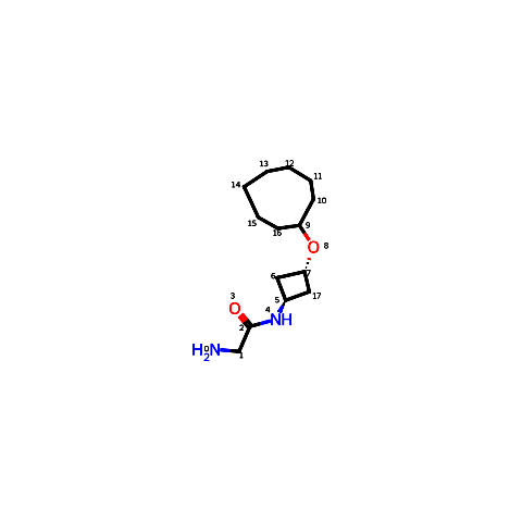 NCC(=O)N[C@H]1C[C@H](OC2CCCCCCC2)C1